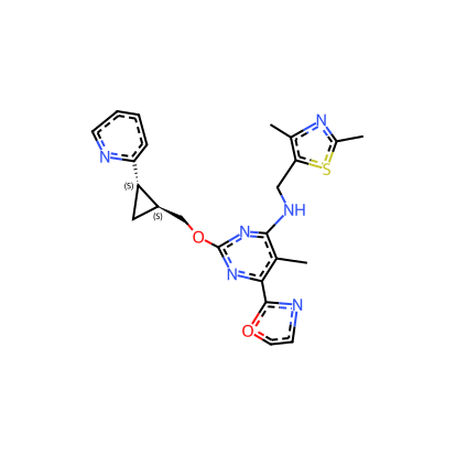 Cc1nc(C)c(CNc2nc(OC[C@H]3C[C@@H]3c3ccccn3)nc(-c3ncco3)c2C)s1